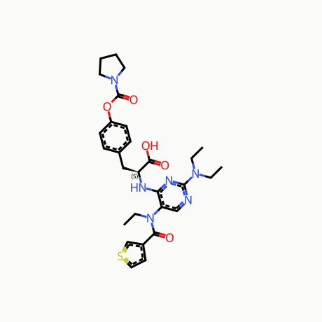 CCN(CC)c1ncc(N(CC)C(=O)c2ccsc2)c(N[C@@H](Cc2ccc(OC(=O)N3CCCC3)cc2)C(=O)O)n1